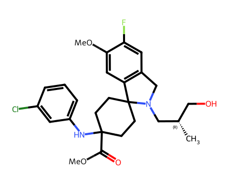 COC(=O)C1(Nc2cccc(Cl)c2)CCC2(CC1)c1cc(OC)c(F)cc1CN2C[C@@H](C)CO